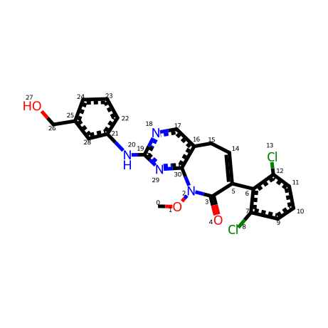 CON1C(=O)C(c2c(Cl)cccc2Cl)=CCc2cnc(Nc3cccc(CO)c3)nc21